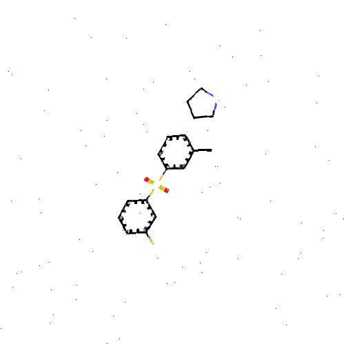 Cc1cc(S(=O)(=O)c2cccc(F)c2)ccc1[C@@H]1CCNC1